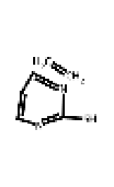 C=C.Sc1ncccn1